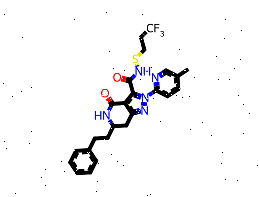 Cc1ccc(-n2nc3c(c2C(=O)NSCCC(F)(F)F)C(=O)NC(CCc2ccccc2)C3)nc1